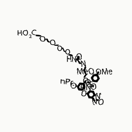 CCCOc1cc(OCCCCN(C)CC(=O)NCCOCCOCCOCCOCCC(=O)O)cc(Oc2cc3c(cc2NS(=O)(=O)c2ccc(OC)c(OC)c2)n(C)c(=O)n3C)c1